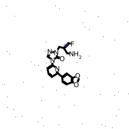 NC/C(=C\F)Cn1ncn(-c2cccc(-c3ccc4c(c3)OCO4)n2)c1=O